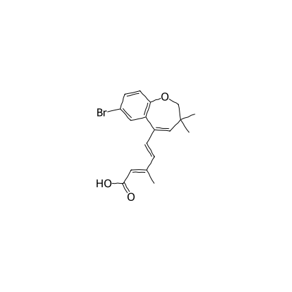 CC(C=CC1=CC(C)(C)COc2ccc(Br)cc21)=CC(=O)O